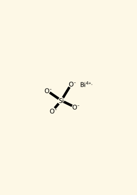 [Bi+4].[O-][Si]([O-])([O-])[O-]